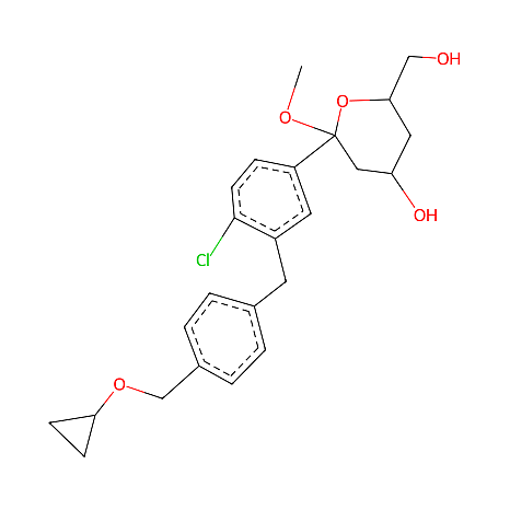 COC1(c2ccc(Cl)c(Cc3ccc(COC4CC4)cc3)c2)CC(O)CC(CO)O1